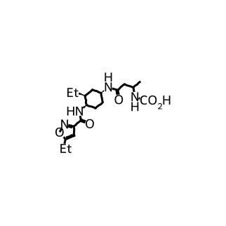 CCc1cc(C(=O)N[C@@H]2CC[C@@H](NC(=O)CC(C)NC(=O)O)C[C@@H]2CC)no1